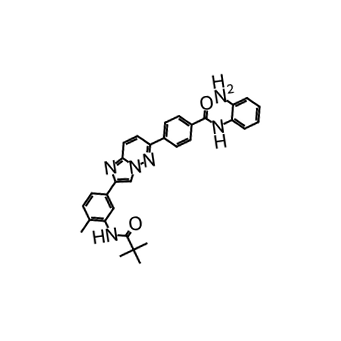 Cc1ccc(-c2cn3nc(-c4ccc(C(=O)Nc5ccccc5N)cc4)ccc3n2)cc1NC(=O)C(C)(C)C